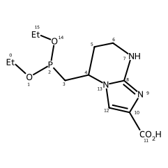 CCOP(CC1CCNc2nc(C(=O)O)cn21)OCC